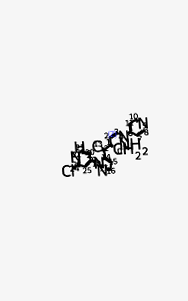 C=C(/C=C\N(N)c1ccncc1)C(=C)c1ccnn1-c1ccnc(Cl)c1